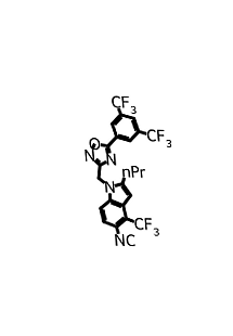 [C-]#[N+]c1ccc2c(cc(CCC)n2Cc2noc(-c3cc(C(F)(F)F)cc(C(F)(F)F)c3)n2)c1C(F)(F)F